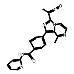 CC(=C=O)c1nc(-c2ccc(C(=O)Nc3ccccn3)cc2)c2c(C)nccn12